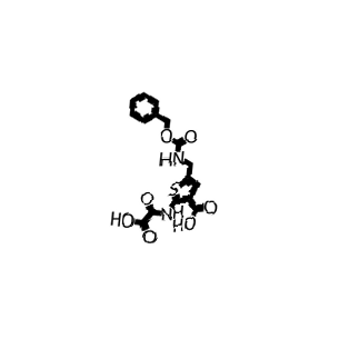 O=C(NCc1cc(C(=O)O)c(NC(=O)C(=O)O)s1)OCc1ccccc1